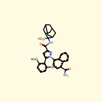 COc1cccc(OC)c1-c1cc(C(=O)NC2(C(=O)O)C3CC4CC(C3)CC2C4)nn1-c1ccc(C(N)=O)c2ccccc12